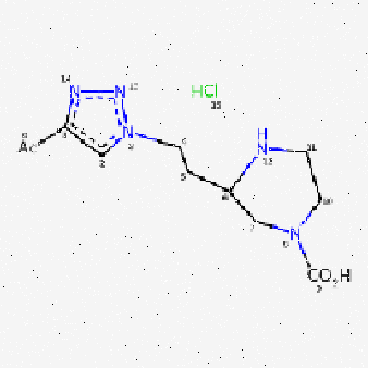 CC(=O)c1cn(CCC2CN(C(=O)O)CCN2)nn1.Cl